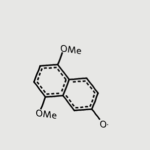 COc1ccc(OC)c2cc([O])ccc12